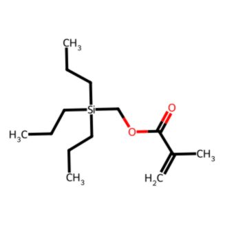 C=C(C)C(=O)OC[Si](CCC)(CCC)CCC